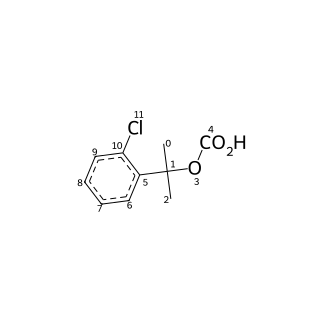 CC(C)(OC(=O)O)c1ccccc1Cl